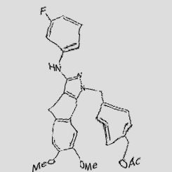 COc1cc2c(cc1OC)-c1c(c(Nc3cccc(F)c3)nn1Cc1ccc(OC(C)=O)cc1)C2